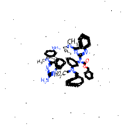 CN(C)c1nc(N(C(=O)OCc2ccccc2)C2CCCC(N(Cc3ccccc3)C(=O)O)C2)nc2ccccc12.CN(C)c1nc(N)nc2cccc([C@@H]3CCC[C@@H](N)C3)c12